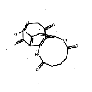 O=C1CCCC(=O)Nc2c3c(cc([N+](=O)[O-])c2C(=O)CCCC3=O)N1